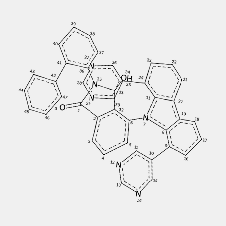 O=C1c2cccc(-n3c4c(-c5cncnc5)cccc4c4cccc(-c5cncnc5)c43)c2C(O)N1c1ccccc1-c1ccccc1